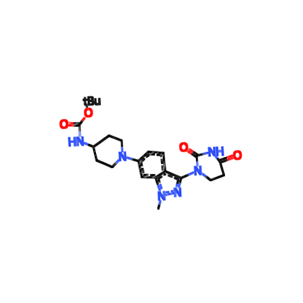 Cn1nc(N2CCC(=O)NC2=O)c2ccc(N3CCC(NC(=O)OC(C)(C)C)CC3)cc21